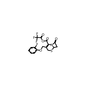 O=C(OC(=O)C(F)(F)F)C1=C(COc2ccccc2F)CSC2CC(=O)N12